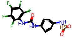 O=C(Nc1ccc(N[SH](=O)=O)cc1)Nc1c(F)c(F)c(F)c(F)c1F